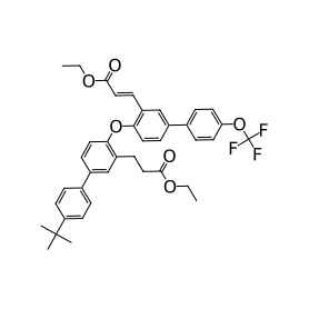 CCOC(=O)/C=C/c1cc(-c2ccc(OC(F)(F)F)cc2)ccc1Oc1ccc(-c2ccc(C(C)(C)C)cc2)cc1CCC(=O)OCC